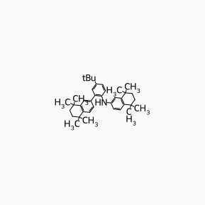 CC(C)(C)c1ccc(Nc2ccc3c(c2)C(C)(C)CCC3(C)C)c(-c2ccc3c(c2)C(C)(C)CCC3(C)C)c1